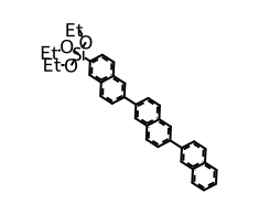 CCO[Si](OCC)(OCC)c1ccc2cc(-c3ccc4cc(-c5ccc6ccccc6c5)ccc4c3)ccc2c1